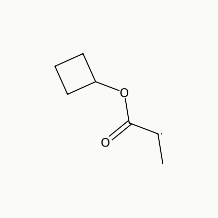 C[CH]C(=O)OC1CCC1